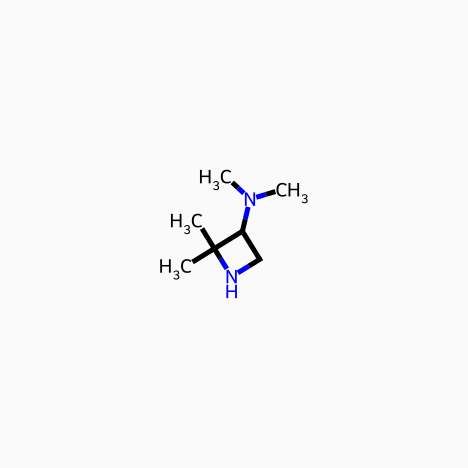 CN(C)C1CNC1(C)C